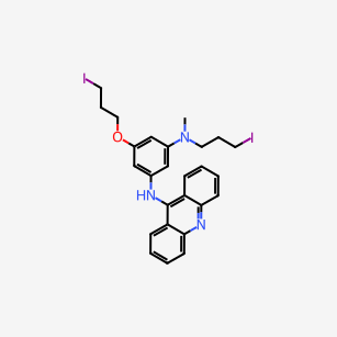 CN(CCCI)c1cc(Nc2c3ccccc3nc3ccccc23)cc(OCCCI)c1